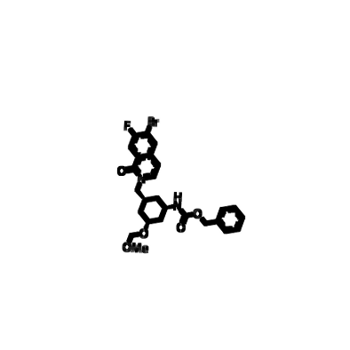 COCO[C@H]1C[C@@H](Cn2ccc3cc(Br)c(F)cc3c2=O)C[C@@H](NC(=O)OCc2ccccc2)C1